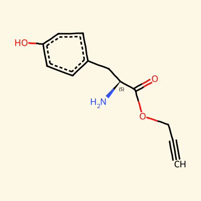 C#CCOC(=O)[C@@H](N)Cc1ccc(O)cc1